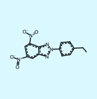 CCc1ccc(-n2nc3cc([N+](=O)[O-])cc([N+](=O)[O-])c3n2)cc1